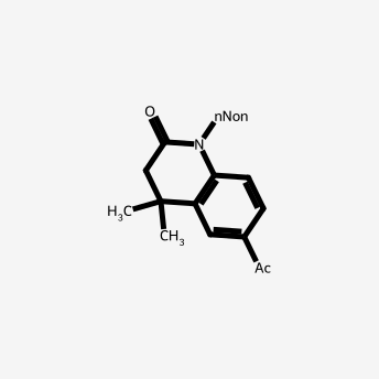 CCCCCCCCCN1C(=O)CC(C)(C)c2cc(C(C)=O)ccc21